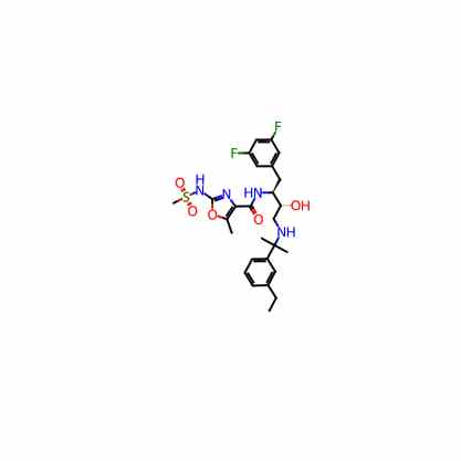 CCc1cccc(C(C)(C)NC[C@@H](O)[C@H](Cc2cc(F)cc(F)c2)NC(=O)c2nc(NS(C)(=O)=O)oc2C)c1